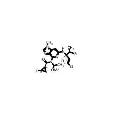 CC/C=C/[C@@](C)(Nc1cc2c(ncn2C)c(N(C(=O)[C@H]2C[C@H]2F)C(C)OC)n1)C(C)C(C)C